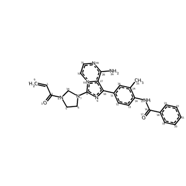 C=CC(=O)N1CCN(c2nc(-c3ccc(NC(=O)c4ccccc4)c(C)c3)c3c(N)nccn23)C1